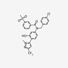 Cn1nc(C(F)(F)F)cc1-c1ccc(N(Cc2ccc(Cl)cc2)C(=O)c2cccc(S(C)(=O)=O)c2)cc1O